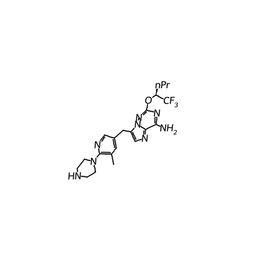 CCC[C@H](Oc1nc(N)c2ncc(Cc3cnc(N4CCNCC4)c(C)c3)n2n1)C(F)(F)F